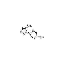 Cc1ccsc1-c1ccc(C(C)(C)C)cc1